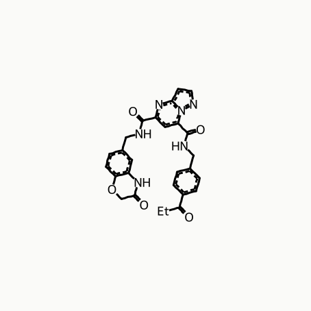 CCC(=O)c1ccc(CNC(=O)c2cc(C(=O)NCc3ccc4c(c3)NC(=O)CO4)nc3ccnn23)cc1